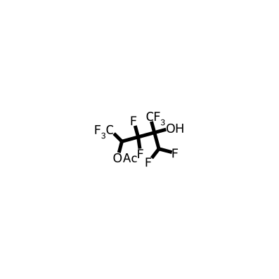 CC(=O)OC(C(F)(F)F)C(F)(F)C(O)(C(F)F)C(F)(F)F